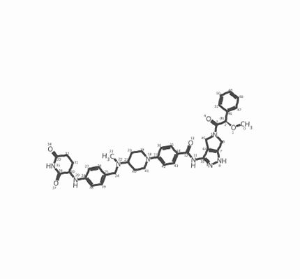 CO[C@@H](C(=O)N1Cc2[nH]nc(NC(=O)c3ccc(N4CCC(N(C)Cc5ccc(NC6CCC(=O)NC6=O)cc5)CC4)cc3)c2C1)c1ccccc1